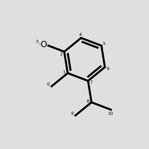 Cc1c([O])cccc1C(C)C